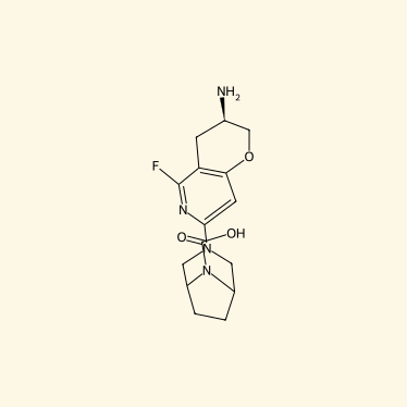 N[C@H]1COc2cc(N3CC4CCC(C3)N4C(=O)O)nc(F)c2C1